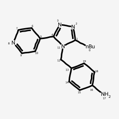 CCCCc1nnc(-c2ccncc2)n1Cc1ccc(N)cc1